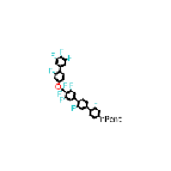 CCCCCc1ccc(-c2ccc(-c3cc(F)c(C(F)(F)Oc4ccc(-c5cc(F)c(F)c(F)c5)c(F)c4)c(F)c3)c(F)c2)c(F)c1